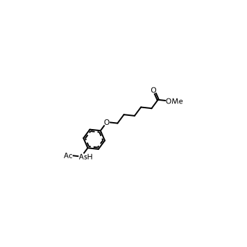 COC(=O)CCCCCOc1ccc([AsH]C(C)=O)cc1